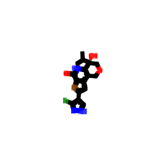 CC(C)[C@@]1(O)COCc2c1[nH]c(=O)c1sc(-c3c[nH]nc3F)cc21